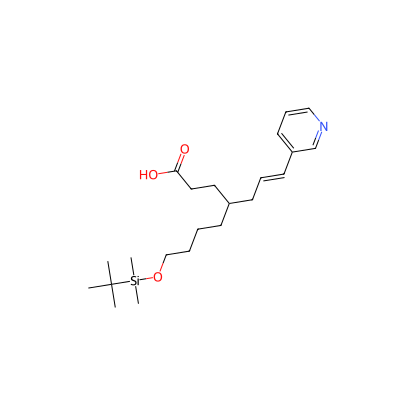 CC(C)(C)[Si](C)(C)OCCCCC(CC=Cc1cccnc1)CCC(=O)O